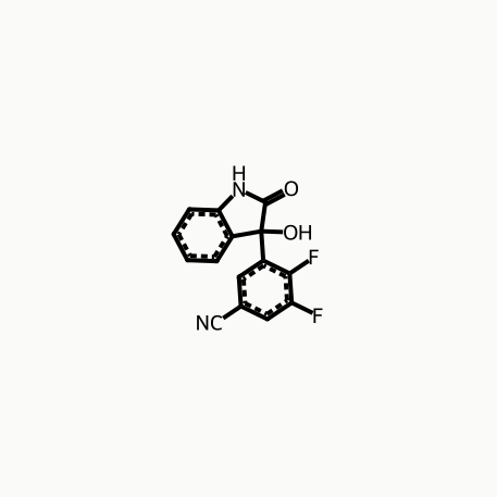 N#Cc1cc(F)c(F)c(C2(O)C(=O)Nc3ccccc32)c1